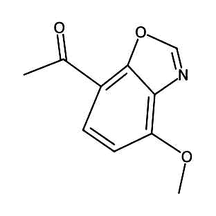 COc1ccc(C(C)=O)c2ocnc12